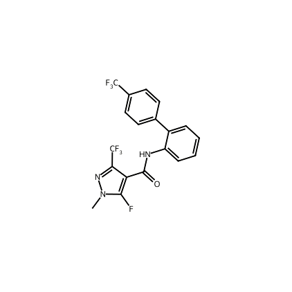 Cn1nc(C(F)(F)F)c(C(=O)Nc2ccccc2-c2ccc(C(F)(F)F)cc2)c1F